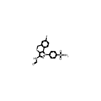 NS(=O)(=O)c1ccc(-n2nc(NC=O)c3c2-c2ccc(F)cc2CS3)cc1